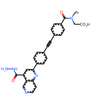 CC(C)N(CC(=O)O)C(=O)c1ccc(C#Cc2ccc(-c3cc(C(=O)NN)c4cnccc4n3)cc2)cc1